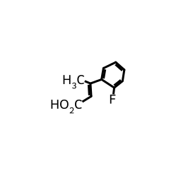 CC(=CC(=O)O)c1ccccc1F